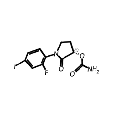 NC(=O)O[C@H]1CCN(c2ccc(I)cc2F)C1=O